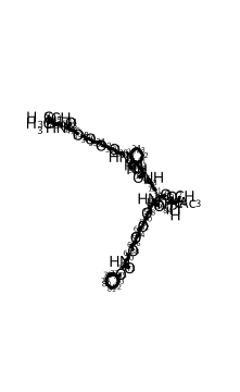 CC(=O)[C@H](C)NC(=O)[C@@H](NC(=O)[C@@H](CCCCNC(=O)COC1CCCCC/C(NCCOCCOCCOCCOCCC(=O)NCC[N+](C)(C)C)=C\1N=N)NC(=O)CCOCCOCCOCCOCCNC(=O)COC1C#CCCCCC1)C(C)C